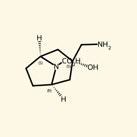 NC[C@@]1(O)C[C@H]2CC[C@@H](C1)N2C(=O)O